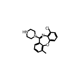 Cc1cccc2c1Oc1cccc(Cl)c1N=C2N1CCNCC1